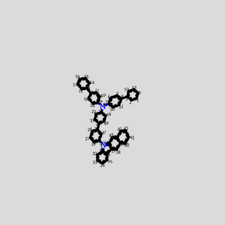 c1ccc(-c2ccc(N(c3ccc(-c4ccccc4)cc3)c3ccc(-c4cccc(-n5c6ccccc6c6cc7ccccc7cc65)c4)cc3)cc2)cc1